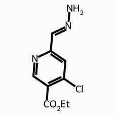 CCOC(=O)c1cnc(C=NN)cc1Cl